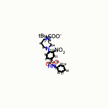 CC(C)(C)[N+]1(C(=O)[O-])CCCN(c2ccc(S(=O)(=O)Nc3ccccc3)cc2[N+](=O)[O-])CC1